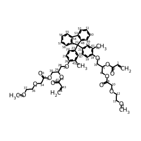 C=CC(=O)OC(COC(=O)COCCOC)COc1ccc(C2(c3ccc(OCC(COC(=O)COCCOC)OC(=O)C=C)c(C)c3)c3ccccc3-c3ccccc32)cc1C